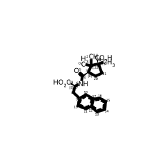 CC1(C)[C@H](C(=O)N[C@@H](Cc2ccc3ccccc3c2)C(=O)O)CC[C@@]1(C)C(=O)O